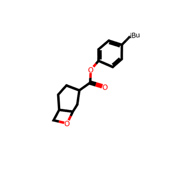 CCC(C)c1ccc(OC(=O)C2CCC3COC3C2)cc1